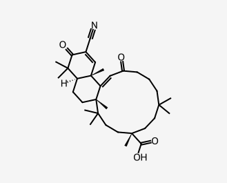 CC1(C)CCCC(=O)/C=C2/[C@@]3(C)C=C(C#N)C(=O)C(C)(C)[C@@H]3CC[C@@]2(C)C(C)(C)CC[C@@](C)(C(=O)O)CC1